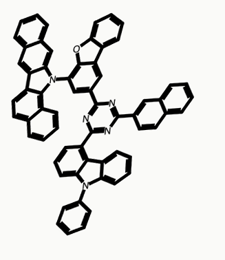 c1ccc(-n2c3ccccc3c3c(-c4nc(-c5ccc6ccccc6c5)nc(-c5cc(-n6c7cc8ccccc8cc7c7ccc8ccccc8c76)c6oc7ccccc7c6c5)n4)cccc32)cc1